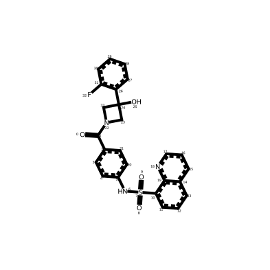 O=C(c1ccc(NS(=O)(=O)c2cccc3cccnc23)cc1)N1CC(O)(c2ccccc2F)C1